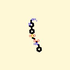 NCc1ccc(-c2ccc(S(=O)(=O)CCOC(=O)NCc3ccccc3)cc2)cn1